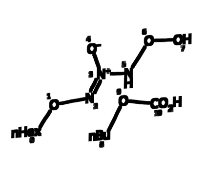 CCCCCCON=[N+]([O-])NOO.CCCCOC(=O)O